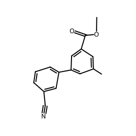 COC(=O)c1cc(C)cc(-c2cccc(C#N)c2)c1